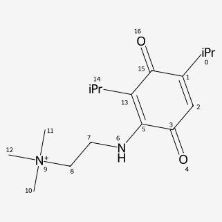 CC(C)C1=CC(=O)C(NCC[N+](C)(C)C)=C(C(C)C)C1=O